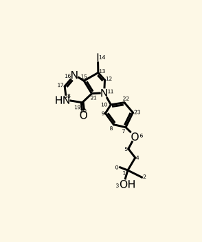 CC(C)(O)CCOc1ccc(-n2cc(I)c3nc[nH]c(=O)c32)cc1